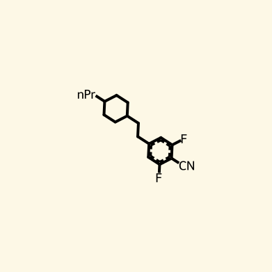 CCCC1CCC(CCc2cc(F)c(C#N)c(F)c2)CC1